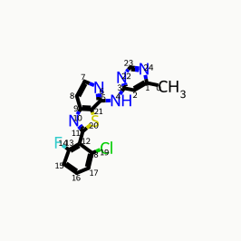 Cc1cc(Nc2nccc3nc(-c4c(F)cccc4Cl)sc23)ncn1